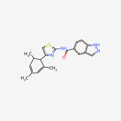 CC1=CC(C)C(c2csc(NC(=O)c3ccc4[nH]ncc4c3)n2)C(C)=C1